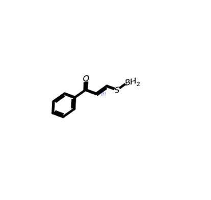 BS/C=C/C(=O)c1ccccc1